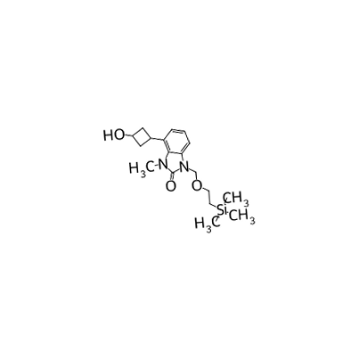 Cn1c(=O)n(COCC[Si](C)(C)C)c2cccc(C3CC(O)C3)c21